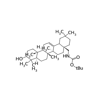 CC1(C)CC[C@]2(CNC(=O)OC(C)(C)C)CC[C@]3(C)C(=CC[C@@H]4[C@@]5(C)CCC(O)C(C)(C)[C@@H]5CC[C@]43C)C2C1